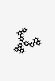 c1cc(-c2ccc(N(c3ccc(-c4cccc5c4oc4ccccc45)cc3)c3ccc4c5ccccc5c5ccccc5c4c3)cc2)cc(-c2cccc3ccccc23)c1